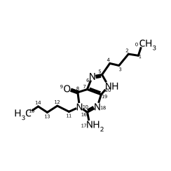 CCCCCc1nc2c(=O)n(CCCCC)c(N)nc2[nH]1